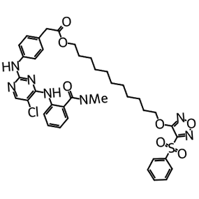 CNC(=O)c1ccccc1Nc1nc(Nc2ccc(CC(=O)OCCCCCCCCCCCOc3nonc3S(=O)(=O)c3ccccc3)cc2)ncc1Cl